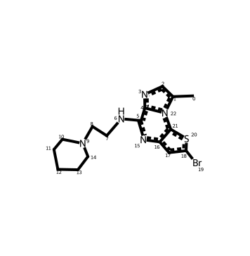 Cc1cnc2c(NCCN3CCCCC3)nc3cc(Br)sc3n12